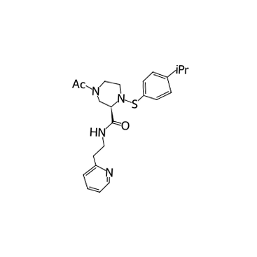 CC(=O)N1CCN(Sc2ccc(C(C)C)cc2)[C@@H](C(=O)NCCc2ccccn2)C1